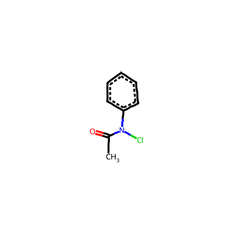 CC(=O)N(Cl)c1cc[c]cc1